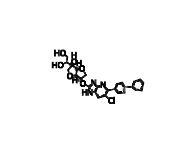 OCC(O)[C@@]1(O)CO[C@@H]2[C@H](Oc3nc4nc(-c5ccc(-c6ccccc6)cc5)c(Cl)cc4[nH]3)CO[C@@H]21